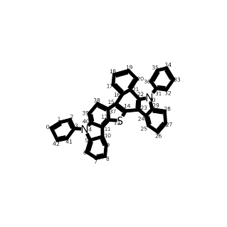 c1ccc(-n2c3ccccc3c3c4sc5c(c6ccccc6c6c5c5ccccc5n6-c5ccccc5)c4ccc32)cc1